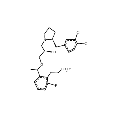 CCOC(=O)CCc1c(F)cccc1[C@@H](C)OC[C@H](O)CN1CCC[C@H]1Cc1ccc(Cl)c(Cl)c1